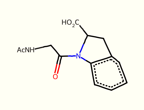 CC(=O)NCC(=O)N1c2ccccc2CC1C(=O)O